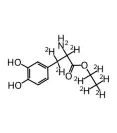 [2H]C([2H])([2H])C([2H])([2H])OC(=O)C([2H])(N)C([2H])([2H])c1ccc(O)c(O)c1